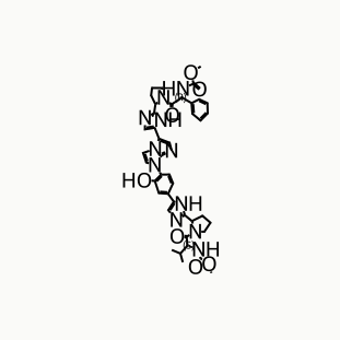 COC(=O)N[C@H](C(=O)N1CCCC1c1ncc(-c2ccc(-n3ccn4c(-c5cnc(C6CCCN6C(=O)[C@H](NC(=O)OC)c6ccccc6)[nH]5)cnc34)c(O)c2)[nH]1)C(C)C